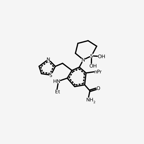 CCCc1c(C(N)=O)cc(NCC)c(Cc2nccs2)c1N1CCCCS1(O)O